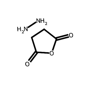 NN.O=C1CCC(=O)O1